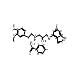 COc1ccc(CCNCC(O)COc2cc(C)cc3[nH]ccc23)cc1OC.O=C(O)c1ccccc1